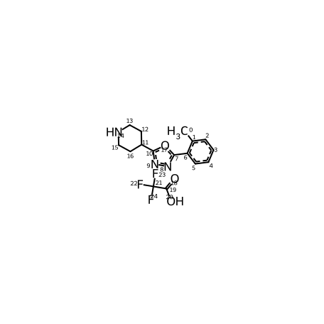 Cc1ccccc1-c1nnc(C2CCNCC2)o1.O=C(O)C(F)(F)F